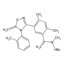 C=C(c1cc(C2=NSC(=C)N2c2ccccc2C)c(C)cc1C)N(C)CCCC